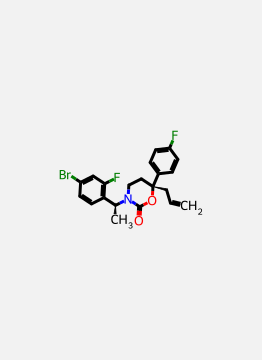 C=CC[C@]1(c2ccc(F)cc2)CCN([C@@H](C)c2ccc(Br)cc2F)C(=O)O1